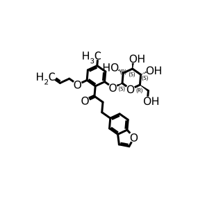 C=CCOc1cc(C)cc(O[C@@H]2O[C@H](CO)[C@@H](O)[C@H](O)[C@H]2O)c1C(=O)CCc1ccc2occc2c1